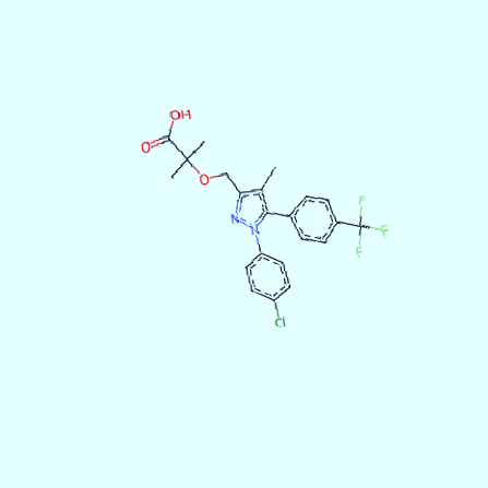 Cc1c(COC(C)(C)C(=O)O)nn(-c2ccc(Cl)cc2)c1-c1ccc(C(F)(F)F)cc1